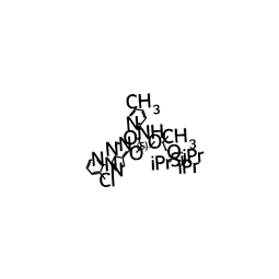 Cc1ccc(NC(=O)[C@H](COC(C)CO[Si](C(C)C)(C(C)C)C(C)C)Oc2ncnc3c2cnn3-c2ncccc2Cl)nc1